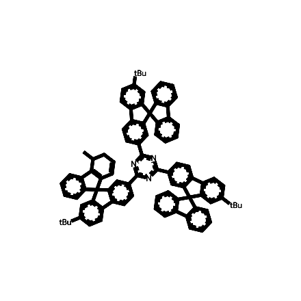 CC1CC=CC2=C1c1ccccc1C21c2cc(-c3nc(-c4ccc5c(c4)C4(c6ccccc6-c6ccccc64)c4cc(C(C)(C)C)ccc4-5)nc(-c4ccc5c(c4)C4(c6ccccc6-c6ccccc64)c4cc(C(C)(C)C)ccc4-5)n3)ccc2-c2ccc(C(C)(C)C)cc21